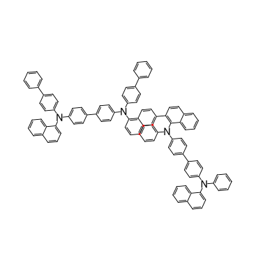 c1ccc(-c2ccc(N(c3ccc(-c4ccc(N(c5ccc(-c6ccccc6)cc5)c5cccc6cc(-c7ccc8ccccc8c7N(c7ccccc7)c7ccc(-c8ccc(N(c9ccccc9)c9cccc%10ccccc9%10)cc8)cc7)ccc56)cc4)cc3)c3cccc4ccccc34)cc2)cc1